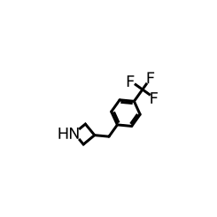 FC(F)(F)c1ccc(CC2CNC2)cc1